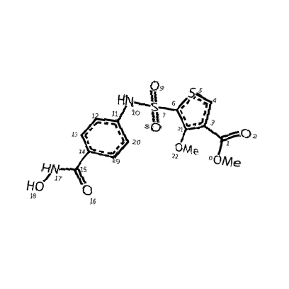 COC(=O)c1csc(S(=O)(=O)Nc2ccc(C(=O)NO)cc2)c1OC